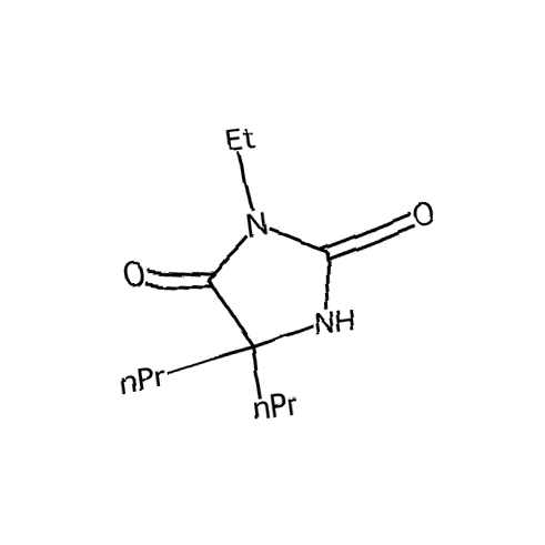 CCCC1(CCC)NC(=O)N(CC)C1=O